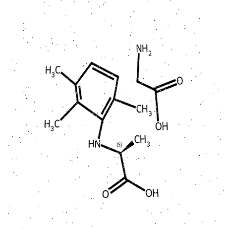 Cc1ccc(C)c(N[C@@H](C)C(=O)O)c1C.NCC(=O)O